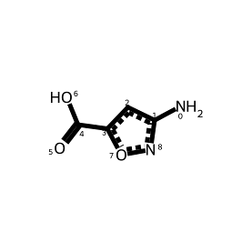 Nc1cc(C(=O)O)on1